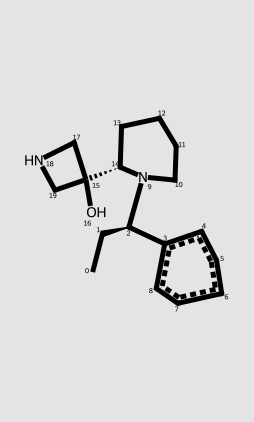 CC[C@H](c1ccccc1)N1CCCC[C@H]1C1(O)CNC1